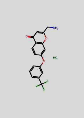 Cl.NCc1cc(=O)c2ccc(Oc3cccc(C(F)(F)F)c3)cc2o1